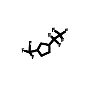 FC(F)(F)C1CCC(C(F)(F)C(F)(F)F)C1